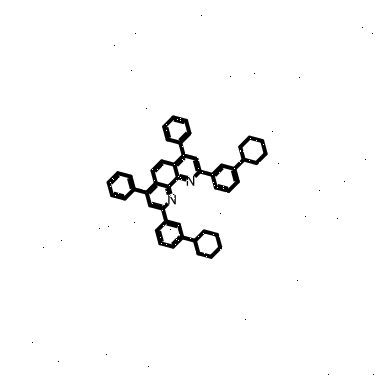 c1ccc(-c2cc(-c3cccc(C4CCCCC4)c3)nc3c2ccc2c(-c4ccccc4)cc(-c4cccc(C5CCCCC5)c4)nc23)cc1